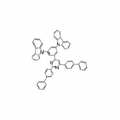 c1ccc(-c2ccc(-c3cc(-c4cc(-n5c6ccccc6c6ccccc65)cc(-n5c6ccccc6c6ccccc65)c4)nc(-c4ccc(-c5ccccc5)cc4)n3)cc2)cc1